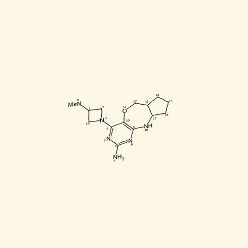 CNC1CN(c2nc(N)nc3c2OCC2CCCC2N3)C1